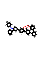 O=c1oc2cc(-c3ccc4c(c3)c3ccccc3n4-c3ccccc3)ccc2c2ccc(-c3ccccc3-c3ccccc3)cc12